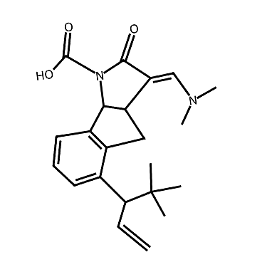 C=CC(c1cccc2c1CC1C(=CN(C)C)C(=O)N(C(=O)O)C21)C(C)(C)C